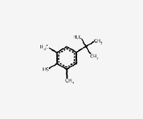 Cc1cc(C(C)(C)C)cc(C)c1S